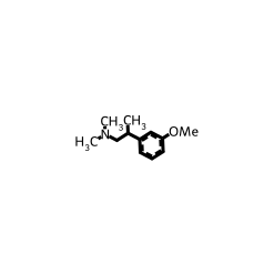 COc1cccc(C(C)CN(C)C)c1